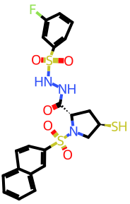 O=C(NNS(=O)(=O)c1cccc(F)c1)[C@@H]1C[C@@H](S)CN1S(=O)(=O)c1ccc2ccccc2c1